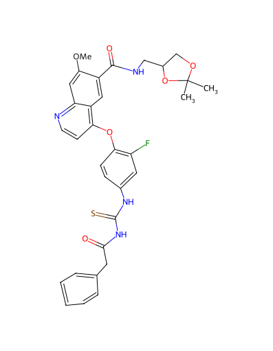 COc1cc2nccc(Oc3ccc(NC(=S)NC(=O)Cc4ccccc4)cc3F)c2cc1C(=O)NCC1COC(C)(C)O1